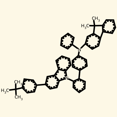 CC(C)(C)c1ccc(-c2ccc3c(c2)c2ccccc2n3-c2ccccc2-c2ccc(N(c3ccccc3)c3ccc4c(c3)C(C)(C)c3ccccc3-4)cc2)cc1